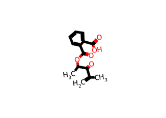 C=C(C)C(=O)C(C)OC(=O)c1ccccc1C(=O)O